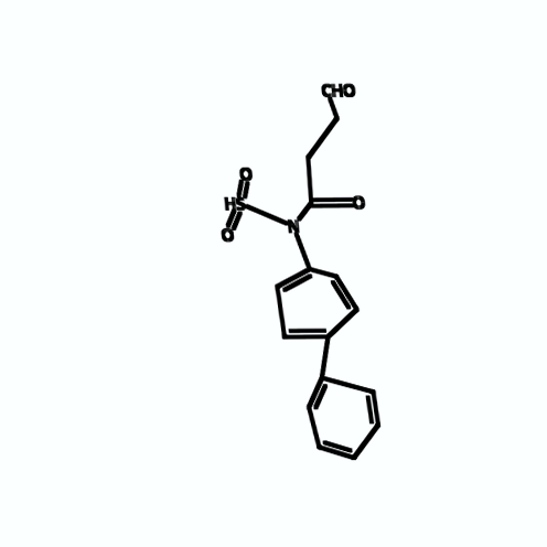 O=CCCC(=O)N(c1ccc(-c2ccccc2)cc1)[SH](=O)=O